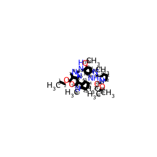 CCCOC(=O)c1cnc(Nc2cc(N)c(N(C)C[C@H]3CCCN3C(=O)OC(C)(C)C)cc2OC)nc1-c1cn(C)c2ccccc12